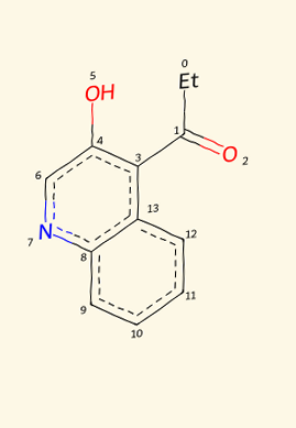 CCC(=O)c1c(O)cnc2ccccc12